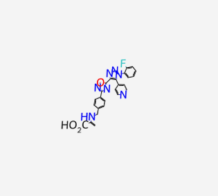 C=C(NCc1ccc(-c2noc(-c3nnn(-c4ccccc4F)c3-c3ccncc3)n2)cc1)C(=O)O